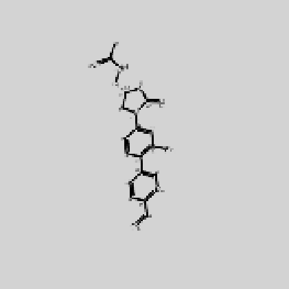 CC(=O)NC[C@H]1CN(c2ccc(-c3ccc(C=O)nc3)c(F)c2)C(=O)O1